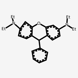 CCN(CC)c1ccc2c(c1)Oc1cc(N(CC)CC)ccc1C2c1ccccc1